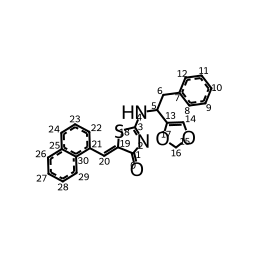 O=C1N=C(NC(Cc2ccccc2)C2=COCO2)SC1=Cc1cccc2ccccc12